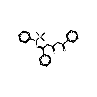 C[Si](C)(C)N(/N=C(\CC(=O)CC(=O)c1ccccc1)c1ccccc1)c1ccccc1